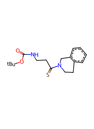 CC(C)(C)OC(=O)NCCC(=S)N1CCc2ccccc2C1